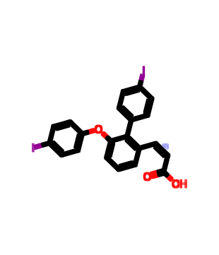 O=C(O)/C=C\c1cccc(Oc2ccc(I)cc2)c1-c1ccc(I)cc1